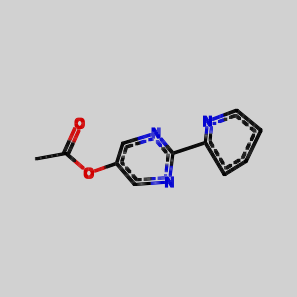 CC(=O)Oc1cnc(-c2ccccn2)nc1